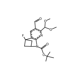 COC(OC)c1nc2c(cc1C=O)C1(F)CC(C1)N2C(=O)OC(C)(C)C